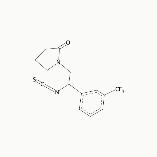 O=C1CCCN1CC(N=C=S)c1cccc(C(F)(F)F)c1